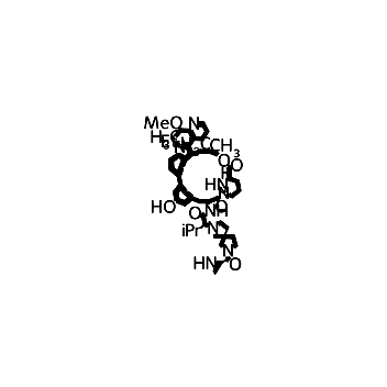 CCn1c(C2=C([C@H](C)OC)N=CCC2)c2c3cc(ccc31)-c1cc(O)cc(c1)C[C@H](NC(=O)[C@H](C(C)C)N1CC[C@]3(CCN(C(=O)[C@H]4CN4)C3)C1)C(=O)N1CCC[C@H](N1)C(=O)OCC(C)(C)C2